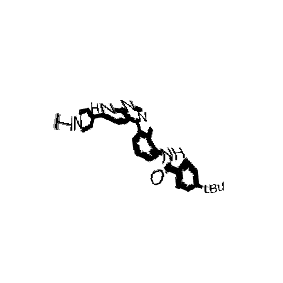 Cc1c(NC(=O)c2ccc(C(C)(C)C)cc2)cccc1-c1ncnc2[nH]c(C3=CCNCC3)cc12